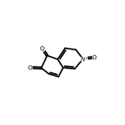 O=C1C=CC2=C[N+](=O)CC=C2C1=O